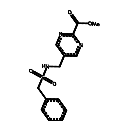 COC(=O)c1ncc(CNS(=O)(=O)Cc2ccccc2)cn1